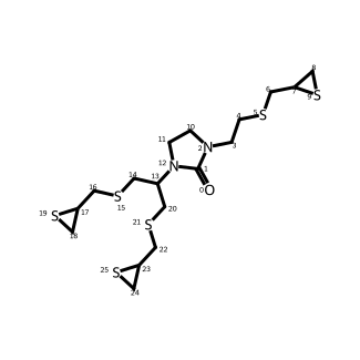 O=C1N(CCSCC2CS2)CCN1C(CSCC1CS1)CSCC1CS1